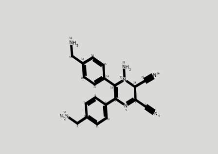 N#CC1=NC(c2ccc(CN)cc2)=C(c2ccc(CN)cc2)N(N)C1C#N